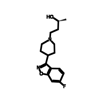 C[C@@H](O)CCN1CCC(c2noc3cc(F)ccc23)CC1